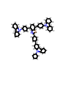 c1ccc(-n2c3ccccc3c3cc(-c4ccc(-c5nc6c(-c7ccc(-n8c9ccccc9c9ccccc98)cc7)ccc(-c7ccc(-n8c9ccccc9c9ccccc98)cc7)c6s5)cc4)ccc32)cc1